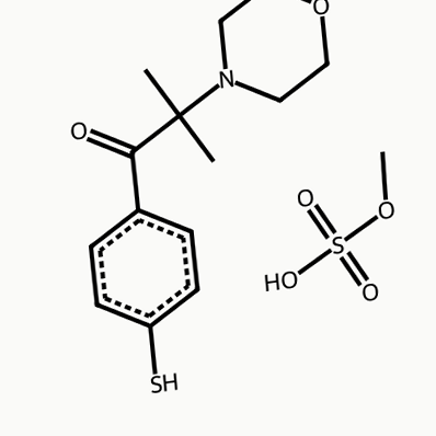 CC(C)(C(=O)c1ccc(S)cc1)N1CCOCC1.COS(=O)(=O)O